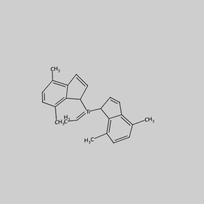 C[CH]=[Ti]([CH]1C=Cc2c(C)ccc(C)c21)[CH]1C=Cc2c(C)ccc(C)c21